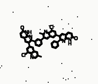 Cc1cnc2c(Cl)cc(-c3cc4ccc(=O)[nH]c4nc3-c3cccc(-c4cc5cc(-c6cc7ccc(=O)[nH]c7nc6-c6ccccc6)cc(Cl)c5nc4C)c3)cc2c1